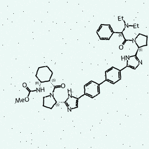 CCN(CC)[C@@H](C(=O)N1CCC[C@H]1c1ncc(-c2ccc(-c3ccc(-c4cnc([C@@H]5CCCN5C(=O)[C@H]5CCCC[C@H]5NC(=O)OC)[nH]4)cc3)cc2)[nH]1)c1ccccc1